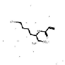 C=CC(=O)NC(CCCCCCCCCCCCCC)CS(=O)(=O)O.[NaH]